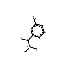 [CH2]Cc1cccc(C(C)N(C)C)c1